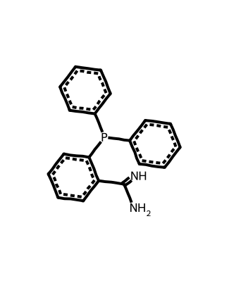 N=C(N)c1ccccc1P(c1ccccc1)c1ccccc1